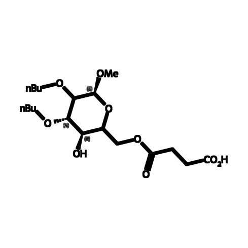 CCCCOC1[C@@H](OC)OC(COC(=O)CCC(=O)O)[C@@H](O)[C@@H]1OCCCC